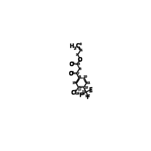 C=CCOC(=O)CC(=O)c1ccc(C(F)(F)F)c(Cl)c1